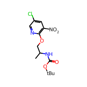 CC(COc1ncc(Cl)cc1[N+](=O)[O-])NC(=O)OC(C)(C)C